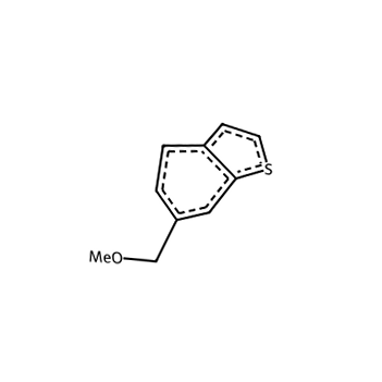 COCc1ccc2ccsc2c1